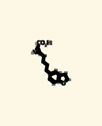 CCOC(=O)C1N=C1CCCCc1ccc2c(c1)CCO2